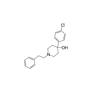 OC1(c2ccc(Cl)cc2)CCN(CCc2ccccc2)CC1